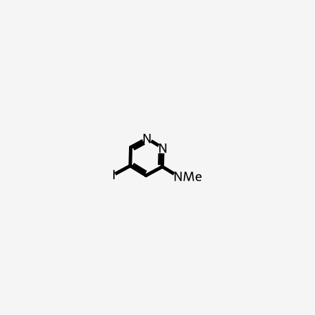 CNc1cc(I)cnn1